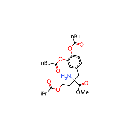 CCCCC(=O)Oc1ccc(C[C@](N)(CCOC(=O)C(C)C)C(=O)OC)cc1OC(=O)CCCC